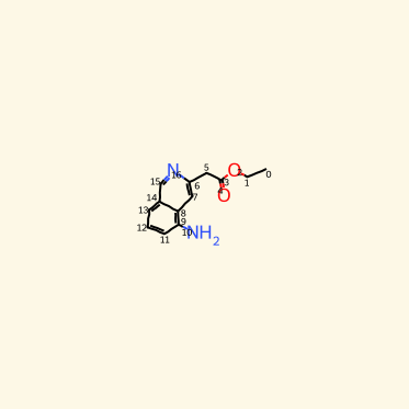 CCOC(=O)Cc1cc2c(N)cccc2cn1